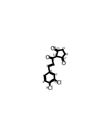 O=C(/C=C/c1ccc(Cl)c(Cl)c1)C1C(=O)CCC1=O